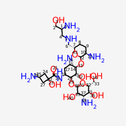 NC(CO)CNC[C@@H]1CC[C@@H](N)[C@@H](OC2[C@@H](N)C[C@@H](NC(=O)C3(O)CC(N)C3)[C@H](O[C@H]3O[C@H](CO)[C@@H](O)[C@H](N)[C@H]3O)[C@H]2O)O1